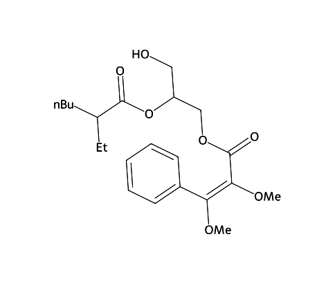 CCCCC(CC)C(=O)OC(CO)COC(=O)C(OC)=C(OC)c1ccccc1